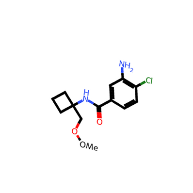 COOCC1(NC(=O)c2ccc(Cl)c(N)c2)CCC1